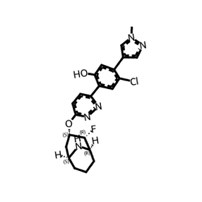 Cn1cc(-c2cc(O)c(-c3ccc(O[C@H]4C[C@@H]5CCC[C@@H](N5)[C@H]4F)nn3)cc2Cl)cn1